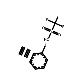 C#C.C#C.Ic1ccccc1.O=S(=O)(O)C(F)(F)F